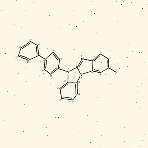 Cc1ccc2nc3n(-c4ccc(-c5ccccc5)cc4)c4ccccc4n3c2c1